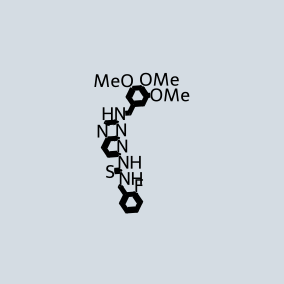 COc1cc(CNc2cnc3ccc(NC(=S)NCc4ccccc4F)nc3n2)cc(OC)c1OC